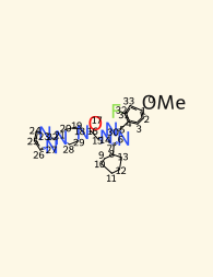 COc1ccc(-c2nc(C3CCCCC3)n(CC(=O)N3CCN(c4ncccn4)CC3)n2)c(F)c1